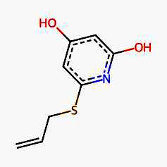 C=CCSc1cc(O)cc(O)n1